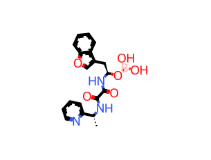 C[C@@H](NC(=O)C(=O)N[C@@H](Cc1coc2ccccc12)OB(O)O)c1ccccn1